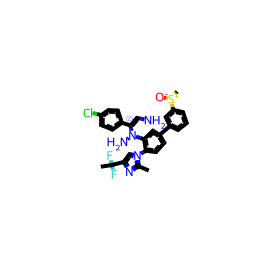 Cc1nc(C(C)(F)F)cn1-c1ccc(-c2cccc([S+](C)[O-])c2)cc1N(N)/C(=C\N)c1ccc(Cl)cc1